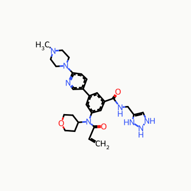 C=CC(=O)N(c1cc(C(=O)NCC2=CNNN2)cc(-c2ccc(N3CCN(C)CC3)nc2)c1)C1CCOCC1